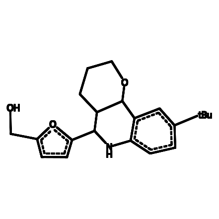 CC(C)(C)c1ccc2c(c1)C1OCCCC1C(c1ccc(CO)o1)N2